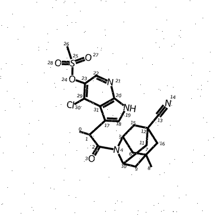 CC(C(=O)N1C2CC3(C)CC1CC(C#N)(C2)C3)c1c[nH]c2ncc(OS(C)(=O)=O)c(Cl)c12